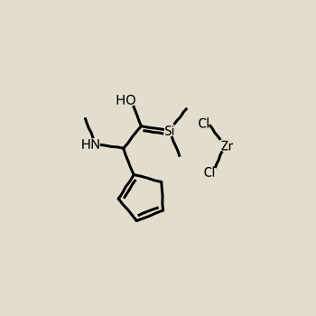 CNC(C1=CC=CC1)C(O)=[Si](C)C.[Cl][Zr][Cl]